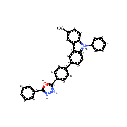 CC(C)(C)c1ccc2c(c1)c1cc(-c3ccc(-c4nnc(-c5ccccc5)o4)cc3)ccc1n2-c1ccccc1